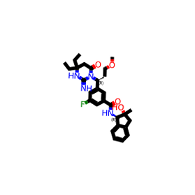 CCC1(CC)CC(=O)N([C@H](CCOC)c2cc(F)cc(C(=O)N[C@@H]3c4ccccc4CC3(C)O)c2)C(=N)N1